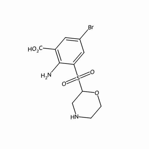 Nc1c(C(=O)O)cc(Br)cc1S(=O)(=O)C1CNCCO1